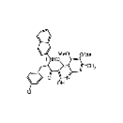 COc1c(C)cc2nc(O)c(C(=O)C(Cc3ccc(Cl)cc3)Nc3ccc4ccccc4c3)c(O)c2c1OC